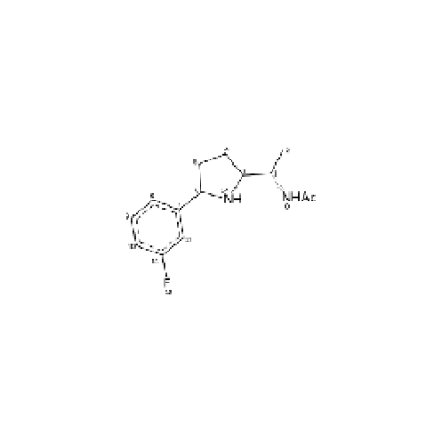 CC(=O)N[C@@H](C)C1CCC(c2cccc(F)c2)N1